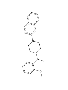 COc1ccncc1C(O)C1CCN(c2cc3ccccc3cn2)CC1